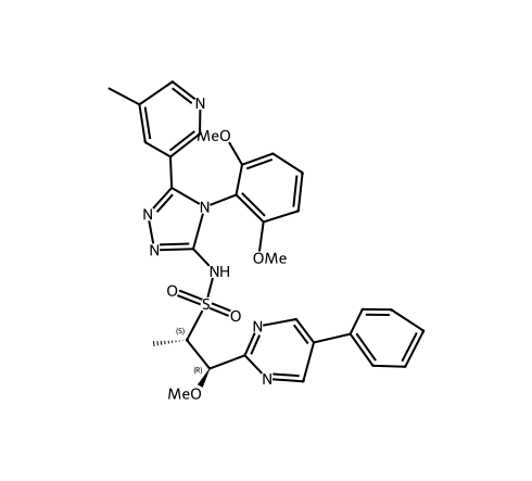 COc1cccc(OC)c1-n1c(NS(=O)(=O)[C@@H](C)[C@H](OC)c2ncc(-c3ccccc3)cn2)nnc1-c1cncc(C)c1